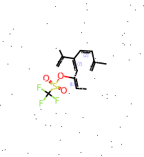 C=C(C)\C=C/C(=C/C(=C\C)OS(=O)(=O)C(F)(F)F)C(=C)C